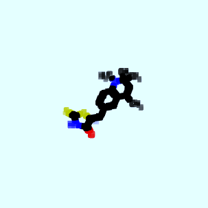 CC1=CC(C)(C)N(C)c2ccc(/C=C3\SC(=S)NC3=O)cc21